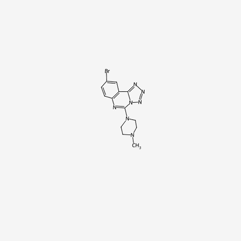 CN1CCN(c2nc3ccc(Br)cc3c3nnnn23)CC1